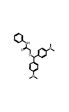 CN(C)c1ccc(C(OCC(=O)Nc2ccccc2)c2ccc(N(C)C)cc2)cc1